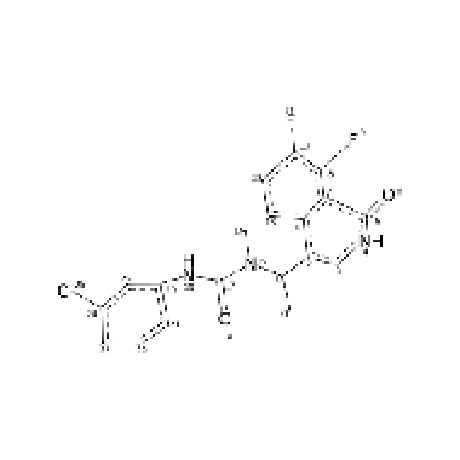 CC(c1c[nH]c(=O)c2c(F)c(F)ccc12)N(C)C(=O)Nc1cccc(Cl)c1